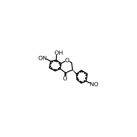 O=Nc1ccc([C@@H]2COc3c(ccc(N=O)c3O)C2=O)cc1